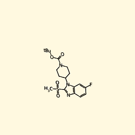 CC(C)(C)OC(=O)N1CCC(n2c(S(C)(=O)=O)nc3ccc(F)cc32)CC1